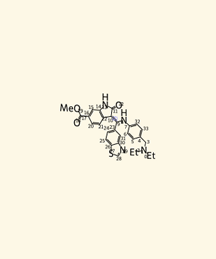 CCN(CC)Cc1ccc(N/C(=C2\C(=O)Nc3cc(C(=O)OC)ccc32)c2ccc3scnc3c2)cc1